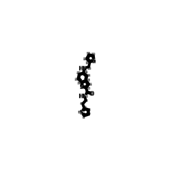 O=C(NCCc1cccs1)c1cc2cc(NCc3cccs3)ccc2s1